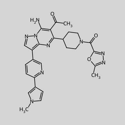 CC(=O)c1c(C2CCN(C(=O)c3nnc(C)o3)CC2)nc2c(-c3ccc(-c4ccn(C)c4)nc3)cnn2c1N